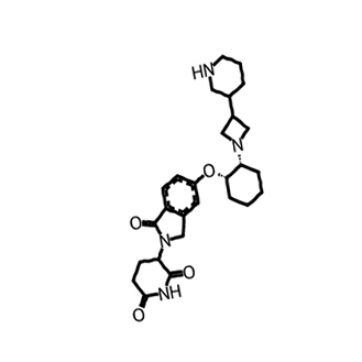 O=C1CCC(N2Cc3cc(O[C@H]4CCCC[C@H]4N4CC(C5CCCNC5)C4)ccc3C2=O)C(=O)N1